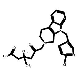 CC(C)(CC(=O)O)CC(=O)CN1CCc2c(n(Cc3ccc(Cl)nc3)c3ccccc23)C1